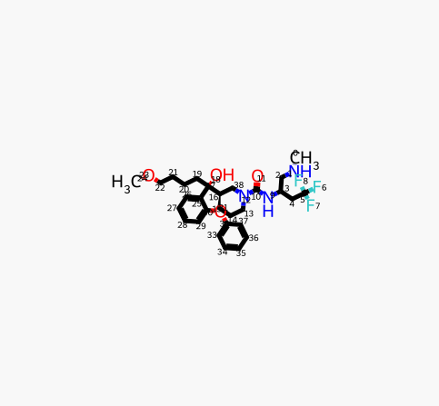 CNCC(CC(F)(F)F)NC(=O)N1CCC[C@@H]([C@@](O)(CCCCOC)c2ccccc2Oc2ccccc2)C1